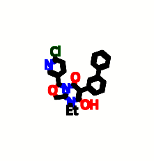 CCn1c(O)c(-c2cccc(-c3ccccc3)c2)c(=O)[n+]2c1COC2c1ccc(Cl)nc1